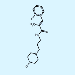 C/C(=C\c1ccccc1F)C(=O)NCCCN1CC[S+]([O-])CC1